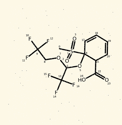 CS(=O)(=O)C1(OC(OCC(F)(F)F)C(F)(F)F)C=CC=CC1C(=O)O